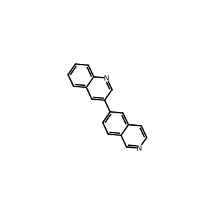 c1ccc2ncc(-c3ccc4cnccc4c3)cc2c1